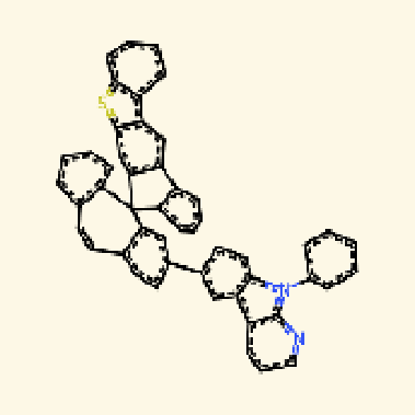 C1=Cc2ccc(-c3ccc4c(c3)c3cccnc3n4-c3ccccc3)cc2C2(c3ccccc31)c1ccccc1-c1cc3c(cc12)sc1ccccc13